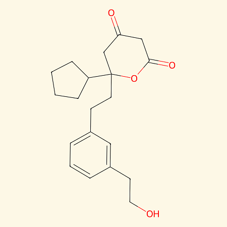 O=C1CC(=O)OC(CCc2cccc(CCO)c2)(C2CCCC2)C1